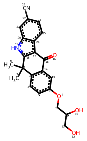 CC1(C)c2ccc(OCC(O)CO)cc2C(=O)c2c1[nH]c1cc(C#N)ccc21